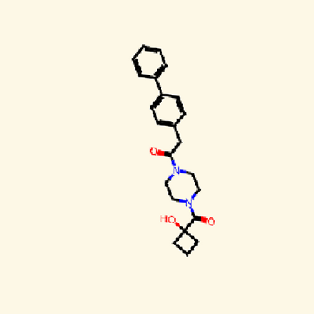 O=C(Cc1ccc(-c2ccccc2)cc1)N1CCN(C(=O)C2(O)CCC2)CC1